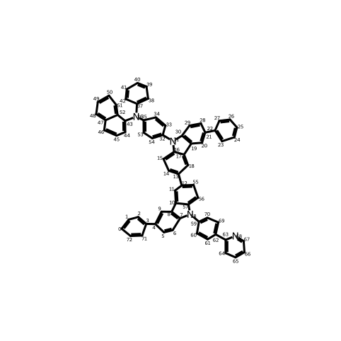 c1ccc(-c2ccc3c(c2)c2cc(-c4ccc5c(c4)c4cc(-c6ccccc6)ccc4n5-c4ccc(N(c5ccccc5)c5cccc6ccccc56)cc4)ccc2n3-c2ccc(-c3ccccn3)cc2)cc1